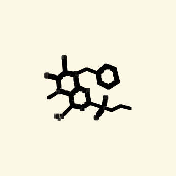 CCCS(=O)(=O)c1nc(N)c2c(n1)n(Cc1ccccc1)c(=O)c(=O)n2C